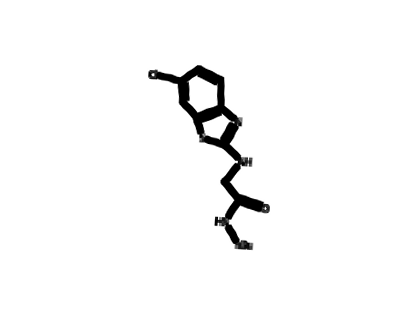 CCCCNC(=O)CNc1nc2ccc(Cl)cc2s1